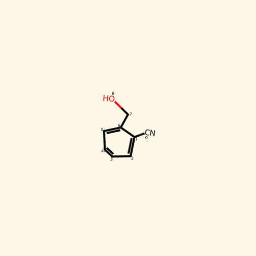 N#Cc1cc[c]cc1CO